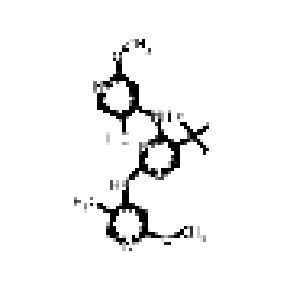 COc1cc(Nc2ncc(C(F)(F)F)c(Nc3cc(OC)ncc3C)n2)c(C)cn1